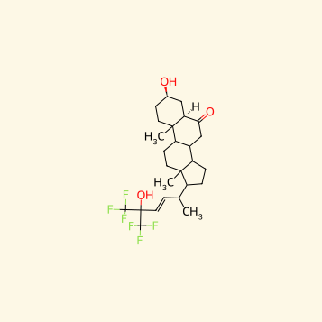 CC(/C=C/C(O)(C(F)(F)F)C(F)(F)F)C1CCC2C3CC(=O)[C@@H]4C[C@H](O)CCC4(C)C3CCC12C